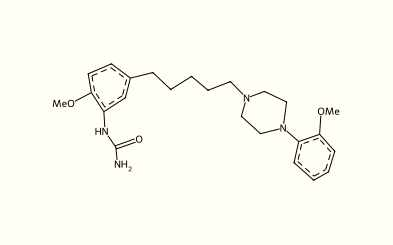 COc1ccc(CCCCCN2CCN(c3ccccc3OC)CC2)cc1NC(N)=O